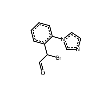 O=CC(Br)c1ccccc1-n1ccnc1